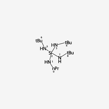 CCCN[Si](NC(C)(C)C)(NC(C)(C)C)NC(C)(C)C